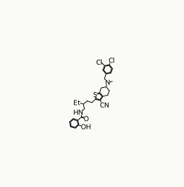 CCC(CCc1sc2c(c1C#N)CCC(N(C)Cc1ccc(Cl)c(Cl)c1)C2)CNC(=O)c1ccccc1O